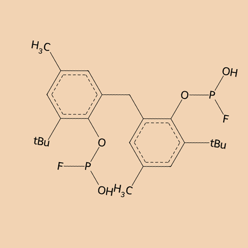 Cc1cc(Cc2cc(C)cc(C(C)(C)C)c2OP(O)F)c(OP(O)F)c(C(C)(C)C)c1